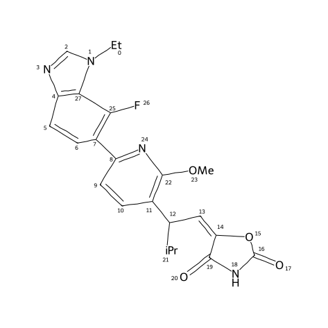 CCn1cnc2ccc(-c3ccc(C(C=C4OC(=O)NC4=O)C(C)C)c(OC)n3)c(F)c21